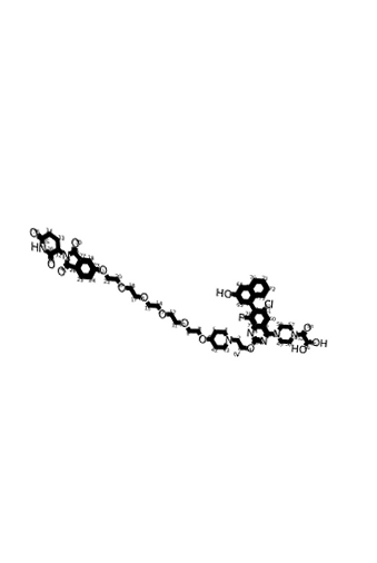 C[C@H](CN1CCC(OCCOCCOCCOCCOCCOc2ccc3c(c2)C(=O)N(C2CCC(=O)NC2=O)C3=O)CC1)Oc1nc(N2CCN(C(=O)C(O)O)CC2)c2cc(Cl)c(-c3cc(O)cc4ccccc34)c(F)c2n1